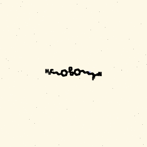 CCCC[C@H]1CC[C@H](C(=O)OC2CCC(CC/C=C/C=C(F)C#N)CC2)CC1